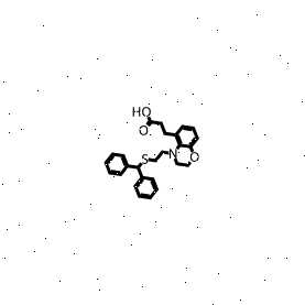 O=C(O)CCc1cccc2c1N(CCSC(c1ccccc1)c1ccccc1)CCO2